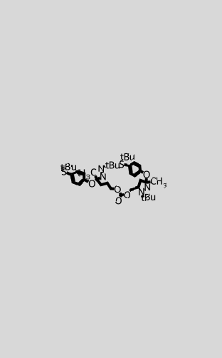 CC(C)(C)N=NC(C)(CCCOC(=O)OCCCC(C)(N=NC(C)(C)C)Oc1ccc(SC(C)(C)C)cc1)Oc1ccc(SC(C)(C)C)cc1